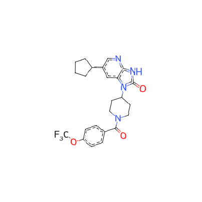 O=C(c1ccc(OC(F)(F)F)cc1)N1CCC(n2c(=O)[nH]c3ncc(C4CCCC4)cc32)CC1